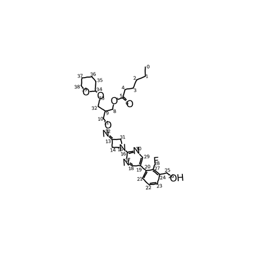 CCCCCC(=O)OCC(CON=C1CN(c2ncc(-c3cccc(CO)c3F)cn2)C1)COC1CCCCO1